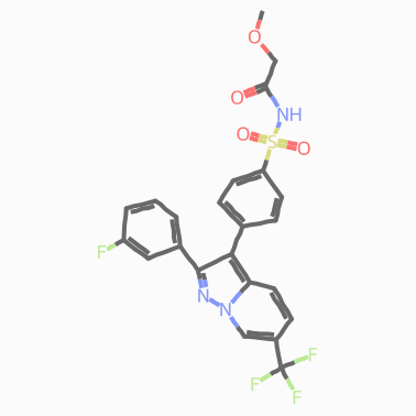 COCC(=O)NS(=O)(=O)c1ccc(-c2c(-c3cccc(F)c3)nn3cc(C(F)(F)F)ccc23)cc1